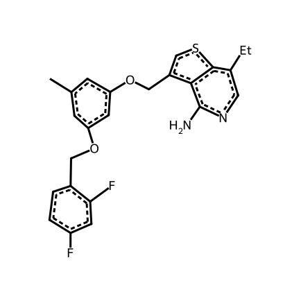 CCc1cnc(N)c2c(COc3cc(C)cc(OCc4ccc(F)cc4F)c3)csc12